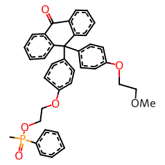 COCCOc1ccc(C2(c3ccc(OCCOP(C)(=O)c4ccccc4)cc3)c3ccccc3C(=O)c3ccccc32)cc1